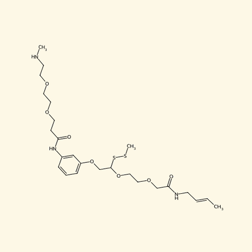 C/C=C/CNC(=O)COCCOC(COc1cccc(NC(=O)CCOCCOCCNC)c1)SSC